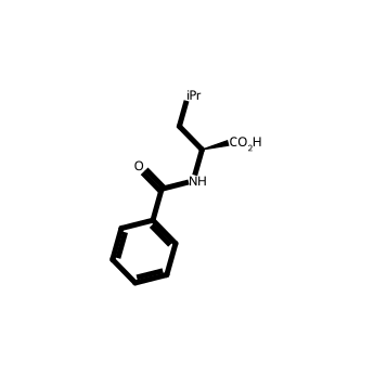 CC(C)C[C@H](NC(=O)c1ccccc1)C(=O)O